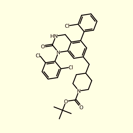 CC(C)(C)OC(=O)N1CCC(Cc2cc(-c3ccccc3Cl)c3c(c2)N(c2c(Cl)cccc2Cl)C(=O)NC3)CC1